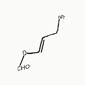 CCCCC=CO[C]=O